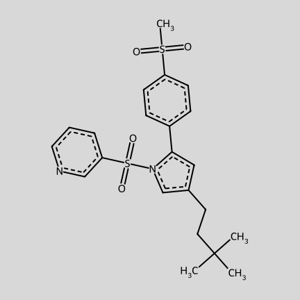 CC(C)(C)CCc1cc(-c2ccc(S(C)(=O)=O)cc2)n(S(=O)(=O)c2cccnc2)c1